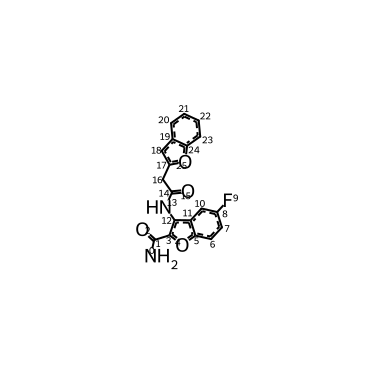 NC(=O)c1oc2ccc(F)cc2c1NC(=O)Cc1cc2ccccc2o1